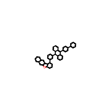 C1=CC2=C(c3ccc(-c4ccccc4)cc3)c3ccccc3C(c3cccc(-c4cccc5oc6cc7ccccc7cc6c45)c3)C2C=C1